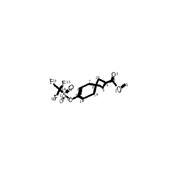 COC(=O)C1CC2(CC=C(OS(=O)(=O)C(F)(F)F)CC2)C1